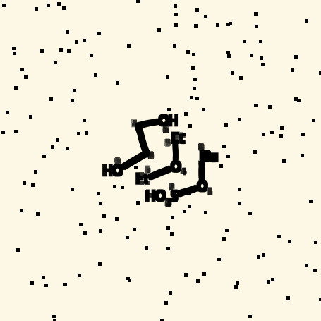 CCC(C)OS(=O)(=O)O.CCOCC.OCCO